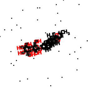 C[C@@H]1CC[C@@]2(OC1)O[C@H]1C[C@H]3[C@@H]4CC[C@H]5CC(O[C@@H]6O[C@H](CO)C(O[C@@H]7O[C@H](CO)[C@@H](O)[C@H](O)[C@H]7O)[C@H](O)[C@H]6O)CC[C@]5(C)[C@H]4CC[C@]3(C)[C@H]1[C@@H]2C